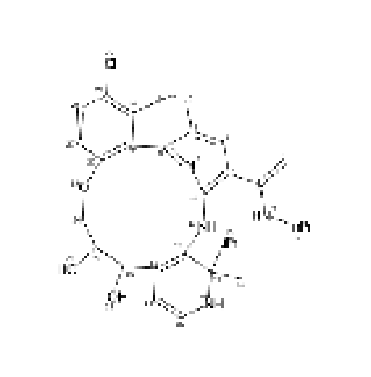 C=C(NCCC)c1cc(C)c2nc1NC1=C(C=CNC1(C)C(C)C)C(O)C(O)COc1ccc(Cl)c(F)c1-2